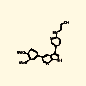 COc1ccc(-c2cnc3[nH]cc(-c4ccc(NCCO)nc4)c3c2)cc1OC